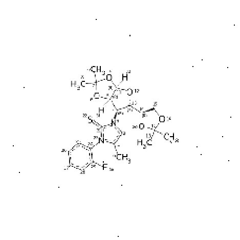 Cc1cn([C@H]2[C@H]3OC(C)(C)O[C@H]3O[C@@H]2[C@H]2COC(C)(C)O2)c(=S)n1-c1ccccc1F